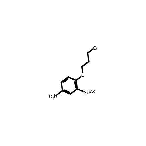 CC(=O)Nc1cc([N+](=O)[O-])ccc1OCCCCl